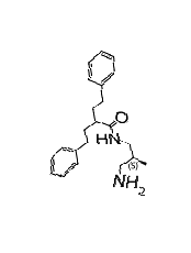 C[C@@H](CN)CNC(=O)C(CCc1ccccc1)CCc1ccccc1